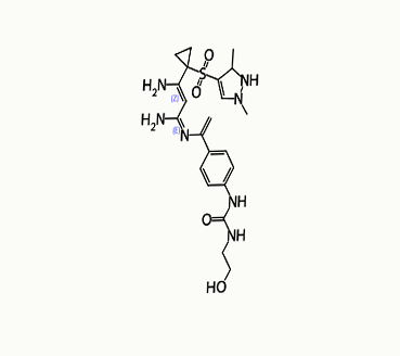 C=C(/N=C(N)\C=C(/N)C1(S(=O)(=O)C2=CN(C)NC2C)CC1)c1ccc(NC(=O)NCCO)cc1